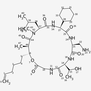 C=CCCCC[C@H]1OC(=O)CNC(=O)[C@H](C(C)O)NC(=O)[C@H](CN)NC(=O)[C@H](C2CCCCC2)NC(=O)[C@H](CC(C)C)N(C)C(=O)[C@@H]1C